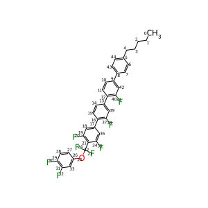 CCCCCc1ccc(-c2ccc(-c3ccc(-c4cc(F)c(C(F)(F)Oc5ccc(F)c(F)c5)c(F)c4)c(F)c3)c(F)c2)cc1